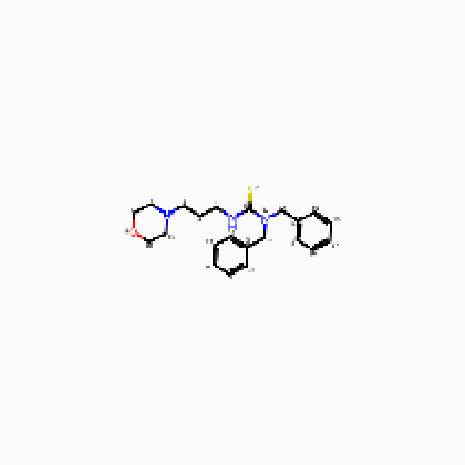 S=C(NCCCN1CCOCC1)N(Cc1ccccc1)Cc1ccccc1